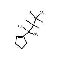 FC(F)(F)C(F)(F)C(F)(F)C(C1=CCCC1)(C(F)(F)F)C(F)(F)F